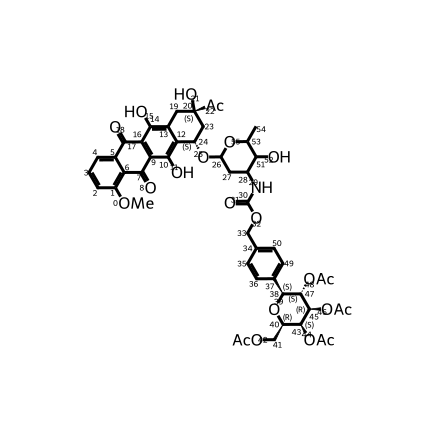 COc1cccc2c1C(=O)c1c(O)c3c(c(O)c1C2=O)C[C@@](O)(C(C)=O)C[C@@H]3OC1CC(NC(=O)OCc2ccc([C@@H]3O[C@H](COC(C)=O)[C@H](OC(C)=O)[C@H](OC(C)=O)[C@H]3OC(C)=O)cc2)C(O)C(C)O1